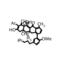 C=C1C(C(C)=O)=C(O)C[C@@]2(C)C[C@@]3(C)Cc4c(-c5cc(CCCC(C)C)ccc5OC)ccc(C)c4C(=O)C3=C(O)[C@@]12O